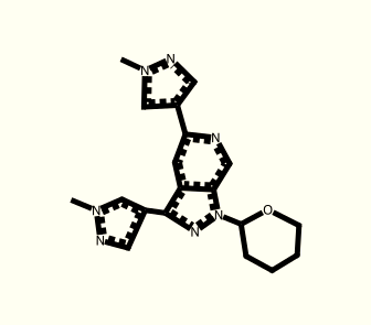 Cn1cc(-c2cc3c(-c4cnn(C)c4)nn(C4CCCCO4)c3cn2)cn1